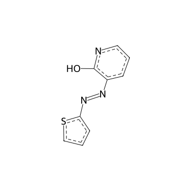 Oc1ncccc1N=Nc1cccs1